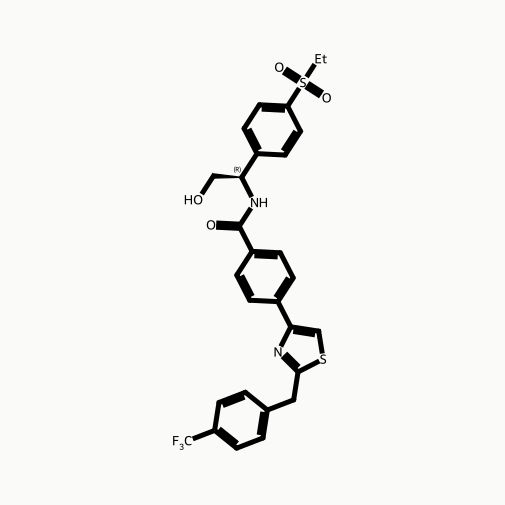 CCS(=O)(=O)c1ccc([C@H](CO)NC(=O)c2ccc(-c3csc(Cc4ccc(C(F)(F)F)cc4)n3)cc2)cc1